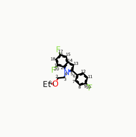 CCOCCn1c(-c2ccc(F)cc2)cc2cc(F)cc(F)c21